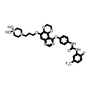 O=C(Nc1ccc(Oc2ncnc3cc(OCCCN4CCS(O)(O)CC4)c4c(c23)OCCO4)cc1)Nc1cc(C(F)(F)F)ccc1F